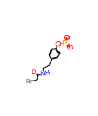 O=C(CBr)NCCc1ccc(OP(=O)=O)cc1